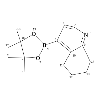 CC1(C)OB(c2ccnc3c2CCCC3)OC1(C)C